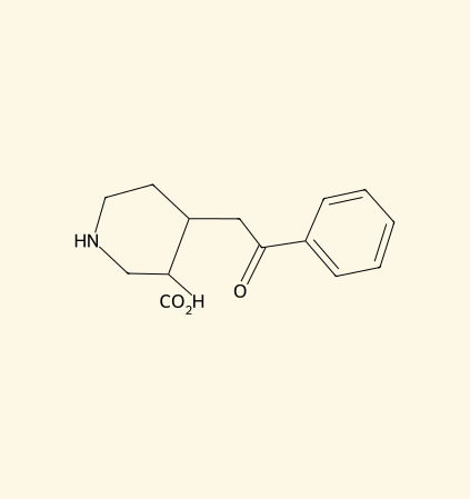 O=C(CC1CCNCC1C(=O)O)c1ccccc1